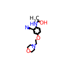 C[C@@H](O)Nc1ccc(OCCN2CCOCC2)cc1C#N